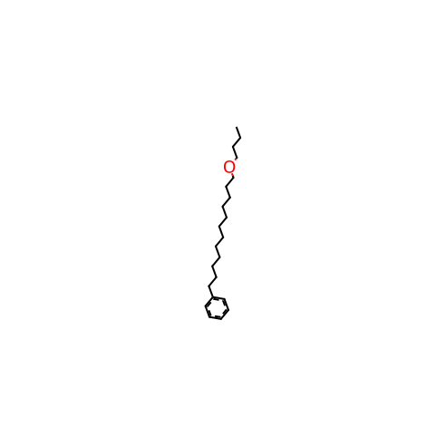 CCCCOCCCCCCCCCCCCc1ccccc1